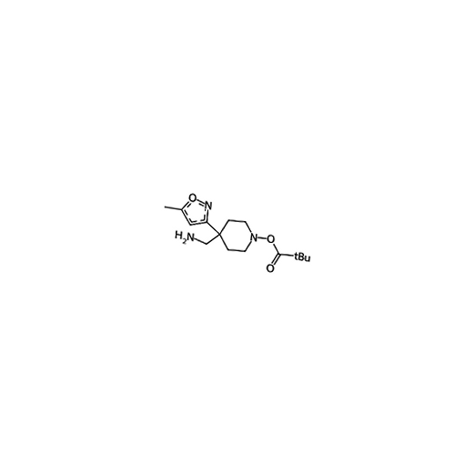 Cc1cc(C2(CN)CCN(OC(=O)C(C)(C)C)CC2)no1